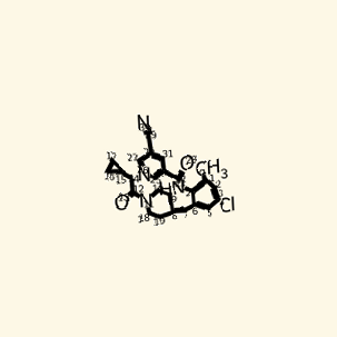 Cc1cc(Cl)cc(C=C2CCN(C(=O)CC3CC3)CC2)c1NC(=O)c1cncc(C#N)c1